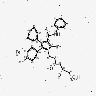 CC(C)c1c(C(=O)Nc2ccccc2)c(-c2ccccc2)c(-c2ccc(F)cc2)n1CC[C@@H](O)C[C@@H](O)CC(=O)O.[Fe]